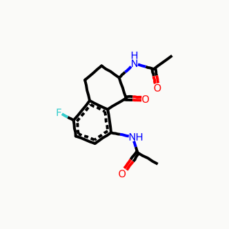 CC(=O)Nc1ccc(F)c2c1C(=O)C(NC(C)=O)CC2